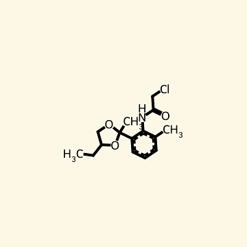 CCC1COC(C)(c2cccc(C)c2NC(=O)CCl)O1